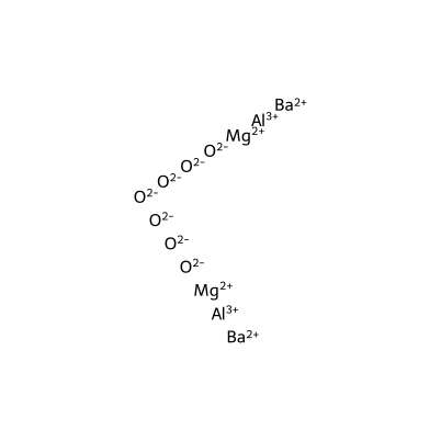 [Al+3].[Al+3].[Ba+2].[Ba+2].[Mg+2].[Mg+2].[O-2].[O-2].[O-2].[O-2].[O-2].[O-2].[O-2]